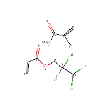 C=C(C)C(=O)OC.C=CC(=O)OCC(F)(F)C(F)F